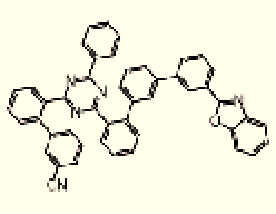 N#Cc1cccc(-c2ccccc2-c2nc(-c3ccccc3)nc(-c3ccccc3-c3cccc(-c4cccc(-c5nc6ccccc6o5)c4)c3)n2)c1